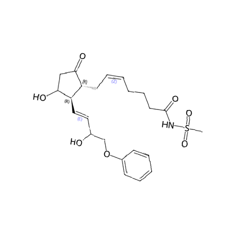 CS(=O)(=O)NC(=O)CCC/C=C\C[C@H]1C(=O)CC(O)[C@@H]1/C=C/C(O)COc1ccccc1